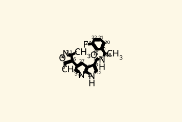 Cc1noc(C)c1-c1cnc2[nH]cc(C(=O)N[C@@H](C)c3cccc(F)c3)c2c1